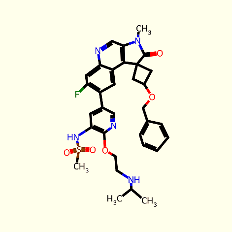 CC(C)NCCOc1ncc(-c2cc3c4c(cnc3cc2F)N(C)C(=O)C42CC(OCc3ccccc3)C2)cc1NS(C)(=O)=O